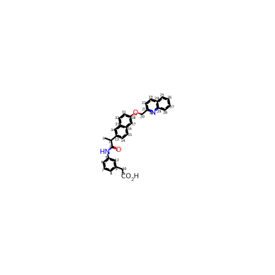 CC(C(=O)Nc1cccc(CC(=O)O)c1)c1ccc2cc(OCc3ccc4ccccc4n3)ccc2c1